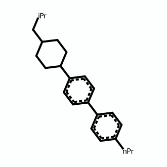 CCCc1ccc(-c2ccc(C3CCC(CC(C)C)CC3)cc2)cc1